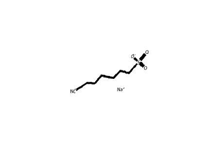 N#CCCCCCCS(=O)(=O)[O-].[Na+]